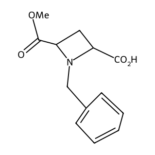 COC(=O)C1CC(C(=O)O)N1Cc1ccccc1